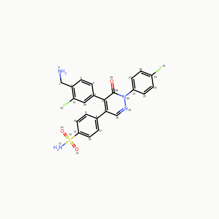 NCc1ccc(-c2c(-c3ccc(S(N)(=O)=O)cc3)cnn(-c3ccc(F)cc3)c2=O)cc1F